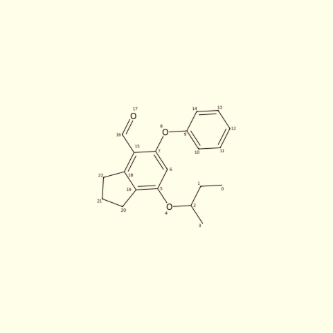 CCC(C)Oc1cc(Oc2ccccc2)c(C=O)c2c1CCC2